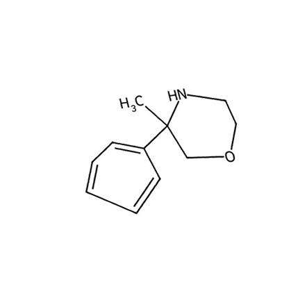 CC1(c2ccccc2)COCCN1